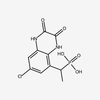 CC(c1cc(Cl)cc2[nH]c(=O)c(=O)[nH]c12)P(=O)(O)O